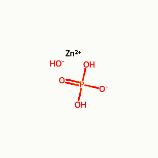 O=P([O-])(O)O.[OH-].[Zn+2]